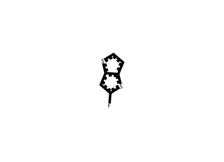 Fc1cc2sccc2s1